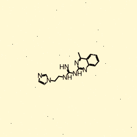 Cc1nc(NC(=N)NCCn2ccnc2)nc2ccccc12